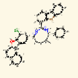 CC1CC/C(c2cc(Cl)c3oc4ccc5ccccc5c4c3c2)=N\C(c2cccc3c2sc2ccccc23)=N/C1c1ccccc1